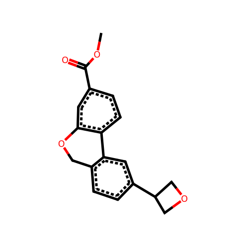 COC(=O)c1ccc2c(c1)OCc1ccc(C3COC3)cc1-2